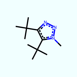 Cn1nnc(C(C)(C)C)c1C(C)(C)C